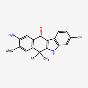 COc1cc2c(cc1N)C(=O)c1c([nH]c3cc(C#N)ccc13)C2(C)C